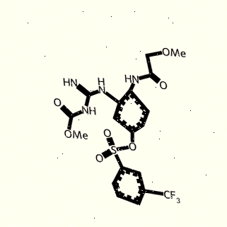 COCC(=O)Nc1ccc(OS(=O)(=O)c2cccc(C(F)(F)F)c2)cc1NC(=N)NC(=O)OC